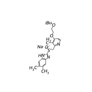 CCC(C)OCCOc1ccnc(C[S+]([O-])c2nc3cc(C)c(C)cc3[nH]2)c1C.[Na]